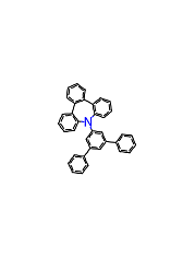 c1ccc(-c2cc(-c3ccccc3)cc(N3c4ccccc4-c4ccccc4-c4ccccc43)c2)cc1